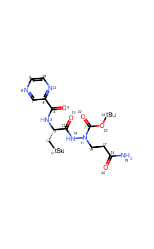 CC(C)(C)C[C@H](NC(=O)c1cnccn1)C(=O)NN(CCC(N)=O)C(=O)OC(C)(C)C